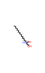 CCCCCCCCCCCCCCCCNC(O)CCO